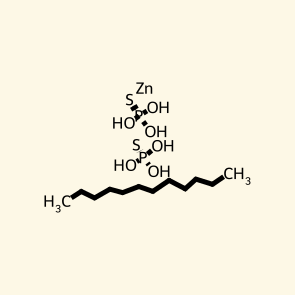 CCCCCCCCCCCC.OP(O)(O)=S.OP(O)(O)=S.[Zn]